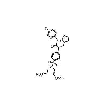 COCCN(CCC(=O)O)S(=O)(=O)c1ccc([C@@H](CC2CCCC2)C(=O)Nc2ccc(F)cn2)cc1